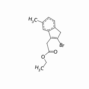 CCOC(=O)CC1=C(Br)Cc2ccc(C)cc21